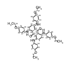 CCOc1ccc(Nc2ccc(Nc3ccc(OCC)cc3)c3c2C(=O)c2c(Nc4ccc(OCC)cc4)ccc(Nc4ccc(OCC)cc4)c2C3=O)cc1